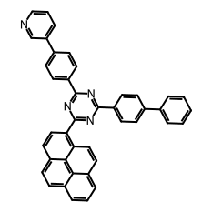 c1ccc(-c2ccc(-c3nc(-c4ccc(-c5cccnc5)cc4)nc(-c4ccc5ccc6cccc7ccc4c5c67)n3)cc2)cc1